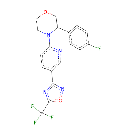 Fc1ccc(C2COCCN2c2ccc(-c3noc(C(F)(F)F)n3)cn2)cc1